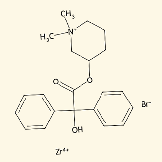 C[N+]1(C)CCCC(OC(=O)C(O)(c2ccccc2)c2ccccc2)C1.[Br-].[Zr+4]